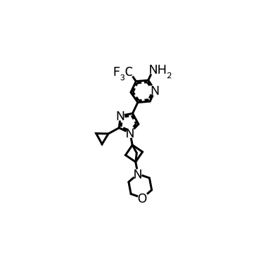 Nc1ncc(-c2cn(C34CC(N5CCOCC5)(C3)C4)c(C3CC3)n2)cc1C(F)(F)F